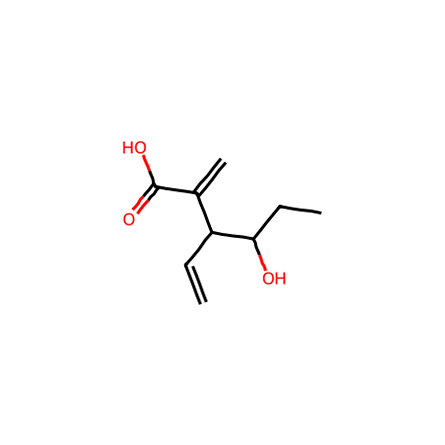 C=CC(C(=C)C(=O)O)C(O)CC